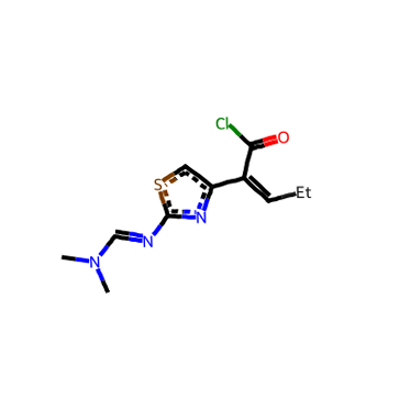 CCC=C(C(=O)Cl)c1csc(N=CN(C)C)n1